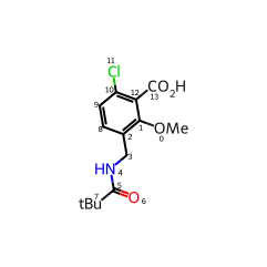 COc1c(CNC(=O)C(C)(C)C)ccc(Cl)c1C(=O)O